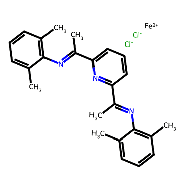 CC(=Nc1c(C)cccc1C)c1cccc(C(C)=Nc2c(C)cccc2C)n1.[Cl-].[Cl-].[Fe+2]